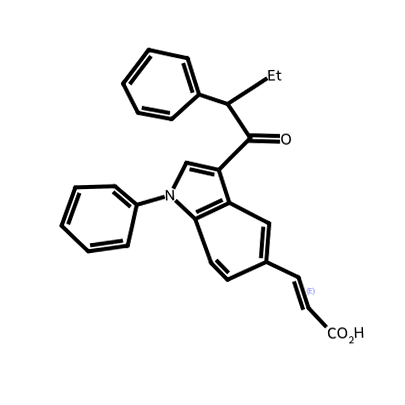 CCC(C(=O)c1cn(-c2ccccc2)c2ccc(/C=C/C(=O)O)cc12)c1ccccc1